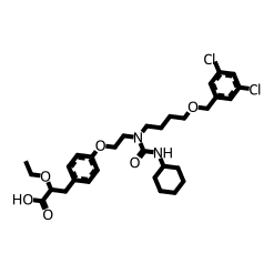 CCOC(Cc1ccc(OCCN(CCCCOCc2cc(Cl)cc(Cl)c2)C(=O)NC2CCCCC2)cc1)C(=O)O